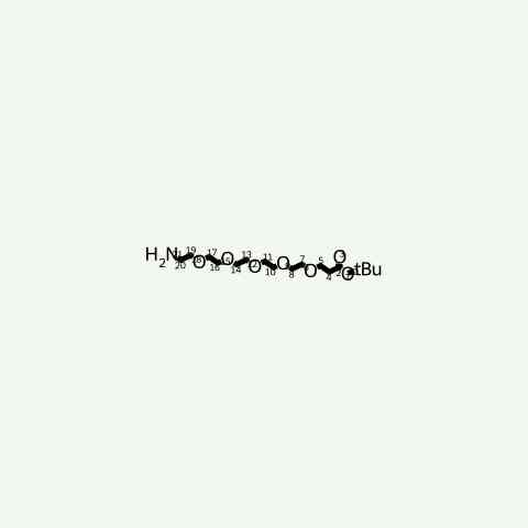 CC(C)(C)OC(=O)CCOCCOCCOCCOCCOCCN